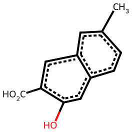 Cc1ccc2cc(O)c(C(=O)O)cc2c1